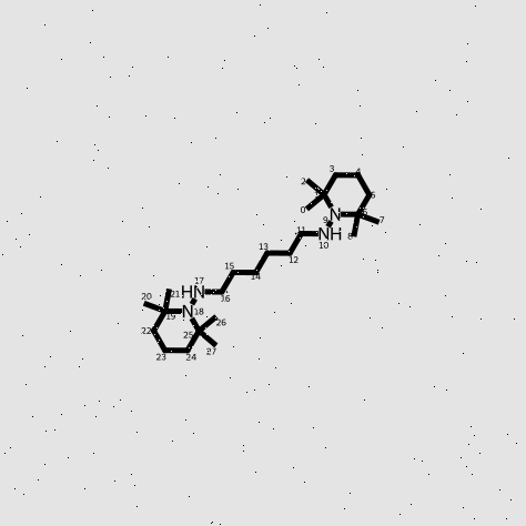 CC1(C)CCCC(C)(C)N1N[CH]CCCC[CH]NN1C(C)(C)CCCC1(C)C